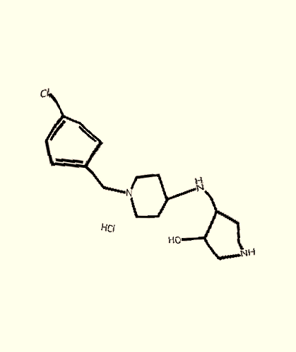 Cl.OC1CNCC1NC1CCN(Cc2ccc(Cl)cc2)CC1